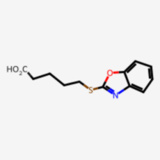 O=C(O)CCCCSc1nc2ccccc2o1